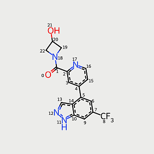 O=C(c1cc(-c2cc(C(F)(F)F)cc3[nH]ncc23)ccn1)N1CC(O)C1